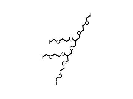 ICOCCOCC(COCC(COCCOCI)OCCOCI)OCCOCI